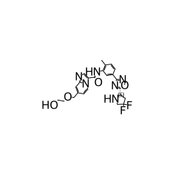 Cc1ccc(-c2noc([C@@H]3CC(F)(F)CN3)n2)cc1NC(=O)c1cnc2cc(COCCO)ccn12